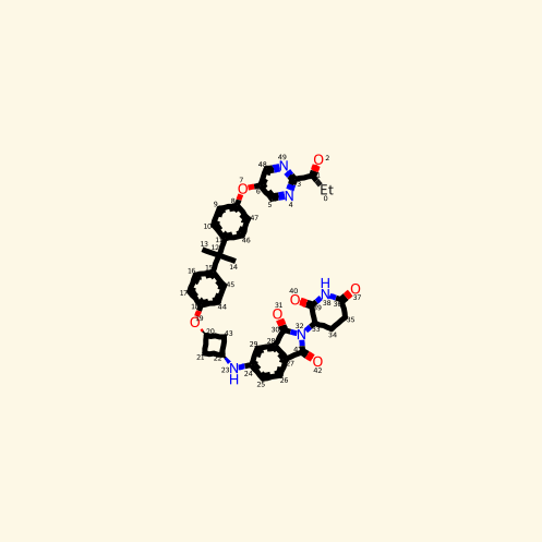 CCC(=O)c1ncc(Oc2ccc(C(C)(C)c3ccc(O[C@H]4C[C@H](Nc5ccc6c(c5)C(=O)N(C5CCC(=O)NC5=O)C6=O)C4)cc3)cc2)cn1